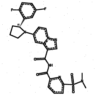 CN(C)S(=O)(=O)c1cccc(C(=O)NC(=O)c2cnn3ccc(N4CCC[C@@H]4c4cc(F)ccc4F)cc23)n1